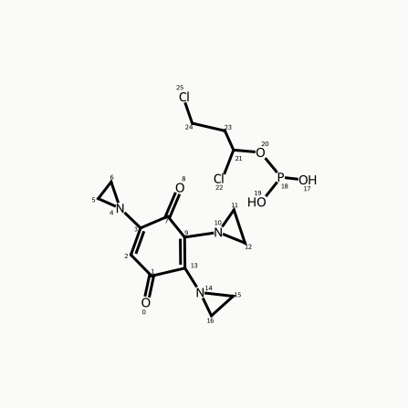 O=C1C=C(N2CC2)C(=O)C(N2CC2)=C1N1CC1.OP(O)OC(Cl)CCCl